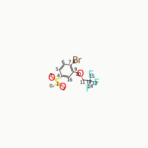 CS(=O)(=O)c1ccc(Br)c(OCC(F)(F)F)c1